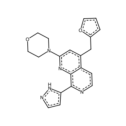 c1coc(Cc2cc(N3CCOCC3)nc3c(-c4ccn[nH]4)nccc23)c1